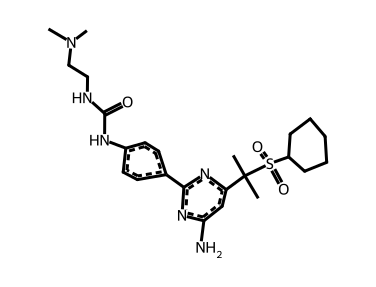 CN(C)CCNC(=O)Nc1ccc(-c2nc(N)cc(C(C)(C)S(=O)(=O)C3CCCCC3)n2)cc1